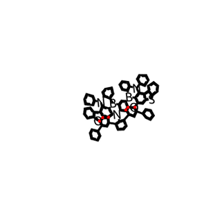 c1ccc(-c2cccc(-c3cccc(-c4cccc(-c5ccccc5)c4)c3N3c4cc5c(cc4B4c6ccccc6N(c6ccccc6)c6c4c3cc3oc4ccccc4c63)B3c4ccccc4N(c4ccccc4)c4c3c(cc3sc6ccccc6c43)O5)c2)cc1